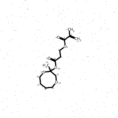 C=C(C)C(=O)OCCC(=O)OC1(C)COCCCCS1